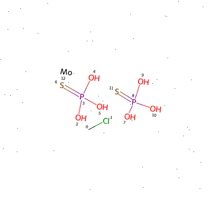 CCl.OP(O)(O)=S.OP(O)(O)=S.[Mo]